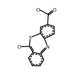 O=C(Cl)c1ccc2c(c1)SC(Cl)=c1ccccc1=N2